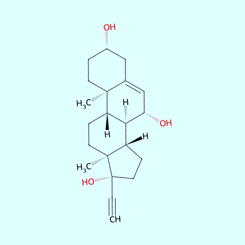 C#C[C@]1(O)CC[C@H]2[C@@H]3[C@@H](O)C=C4C[C@@H](O)CC[C@]4(C)[C@H]3CC[C@@]21C